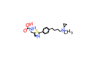 CN(CCCCc1ccc(-c2ncc(CNC(=O)O)s2)cc1)C1CC1